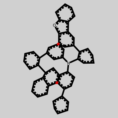 c1ccc(-c2ccc(N(c3cccc(-c4ccccc4-c4cccc5ccccc45)c3)c3ccccc3-c3ccc4oc5ccccc5c4c3)cc2)cc1